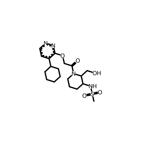 CS(=O)(=O)NC1CCCN(C(=O)COc2nnccc2C2CCCCC2)C1CO